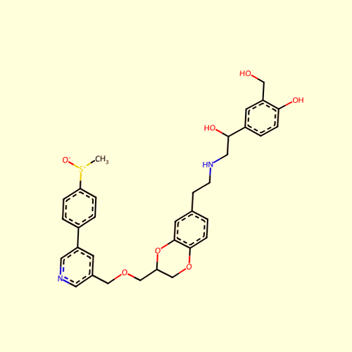 C[S+]([O-])c1ccc(-c2cncc(COCC3COc4ccc(CCNCC(O)c5ccc(O)c(CO)c5)cc4O3)c2)cc1